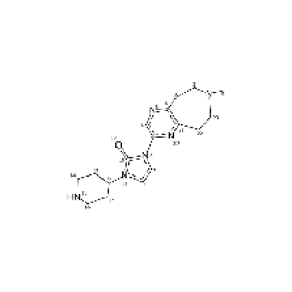 CN1CCc2ncc(-n3ccn(C4CCNCC4)c3=O)nc2CC1